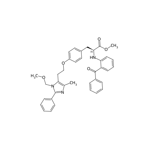 COCn1c(-c2ccccc2)nc(C)c1CCOc1ccc(C[C@H](Nc2ccccc2C(=O)c2ccccc2)C(=O)OC)cc1